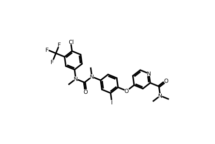 CN(C)C(=O)c1cc(Oc2ccc(N(C)C(=O)N(C)c3ccc(Cl)c(C(F)(F)F)c3)cc2I)ccn1